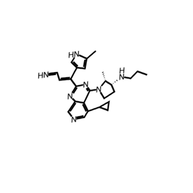 CCCN[C@@H]1CCN(c2nc(/C(=C/C=N)c3c[nH]c(C)c3)nc3cncc(C4CC4)c23)[C@@H]1C